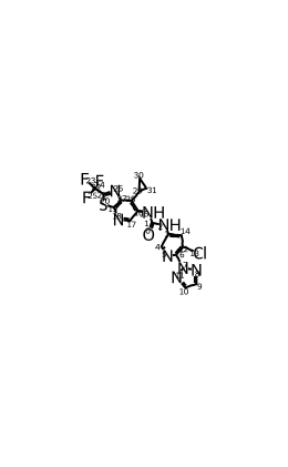 O=C(Nc1cnc(-n2nccn2)c(Cl)c1)Nc1cnc2sc(C(F)(F)F)nc2c1C1CC1